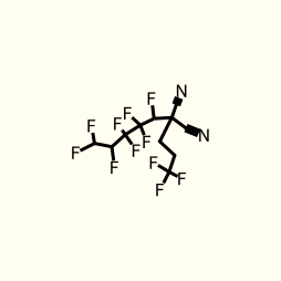 N#CC(C#N)(CCC(F)(F)F)C(F)C(F)(F)C(F)(F)C(F)C(F)F